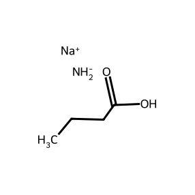 CCCC(=O)O.[NH2-].[Na+]